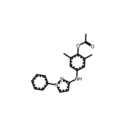 CC(=O)Oc1c(C)cc(Nc2ccn(-c3ccccc3)n2)cc1C